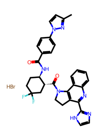 Br.Cc1ccn(-c2ccc(C(=O)N[C@@H]3CCC(F)(F)C[C@H]3C(=O)N3CCc4c(-c5ncc[nH]5)nc5ccccc5c43)cc2)n1